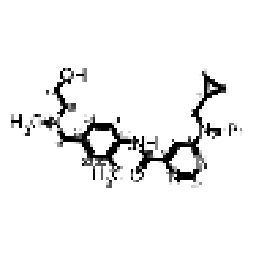 CCCN(CC1CC1)c1cc(C(=O)Nc2ccc(CN(C)CCO)cc2C)ncn1